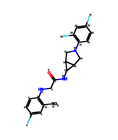 O=C(CNc1ccc(F)cc1[N+](=O)[O-])NC1C2CN(c3ccc(F)cc3F)CC21